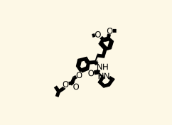 COc1ccc(CC[C@@H](NC(=O)[C@@H]2CCCCN2)c2cccc(OCC(=O)OCC(C)C)c2)cc1OC